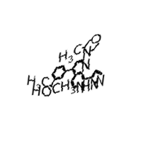 CC1COCCN1c1cc(-c2cccc(C(C)(C)O)c2)c2ccnc(-c3ccn[nH]3)c2n1